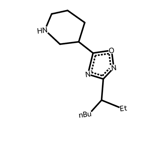 CCCCC(CC)c1noc(C2CCCNC2)n1